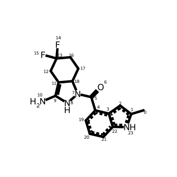 Cc1cc2c(C(=O)N3NC(N)=C4CC(F)(F)CCC43)cccc2[nH]1